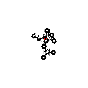 c1ccc(-c2nc(-c3ccccc3)nc(-c3ccc4oc5ccc(-n6c7ccccc7c7ccc8c9ccccc9n(-c9ccc(-c%10ccc(-c%11cccs%11)s%10)s9)c8c76)cc5c4c3)n2)cc1